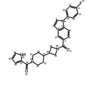 O=C(c1ccc2c(ccn2-c2ccc(F)cc2)c1)N1CC(C2CCN(C(=O)c3ccc[nH]3)CC2)C1